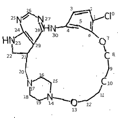 Clc1ccc2cc1OCCCCCON1CCN(CC1)CC1CNc3ncnc(c31)N2